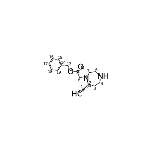 C#C[C@@H]1CCNCCN1CC(=O)OCc1ccccc1